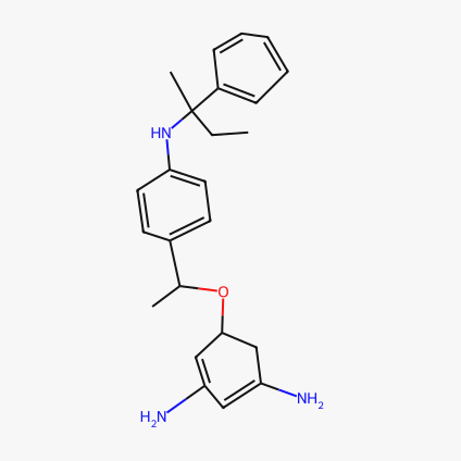 CCC(C)(Nc1ccc(C(C)OC2C=C(N)C=C(N)C2)cc1)c1ccccc1